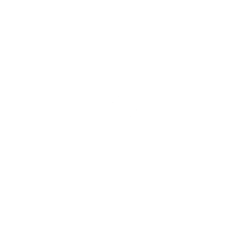 C=CC=Cc1cccc(C)c1